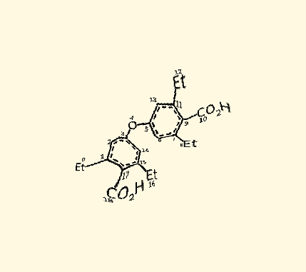 CCc1cc(Oc2cc(CC)c(C(=O)O)c(CC)c2)cc(CC)c1C(=O)O